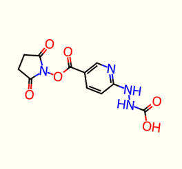 O=C(O)NNc1ccc(C(=O)ON2C(=O)CCC2=O)cn1